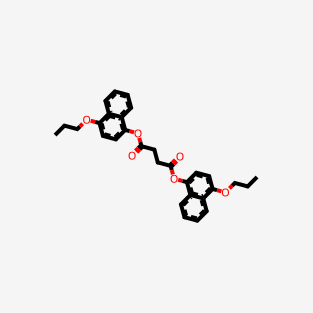 CCCOc1ccc(OC(=O)CCC(=O)Oc2ccc(OCCC)c3ccccc23)c2ccccc12